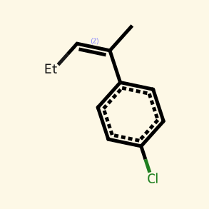 [CH2]C/C=C(/C)c1ccc(Cl)cc1